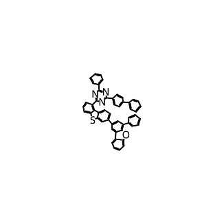 c1ccc(-c2ccc(-c3nc(-c4ccccc4)nc(-c4cccc5sc6cc(-c7cc(-c8ccccc8)c8oc9ccccc9c8c7)ccc6c45)n3)cc2)cc1